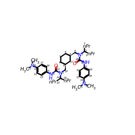 CCCC(CCC)N(C[C@@H]1CCC[C@H](CN(C(=O)Nc2ccc(N(C)C)cc2)C(CCC)CCC)C1)C(=O)Nc1ccc(N(C)C)cc1